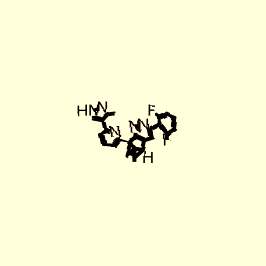 Cc1n[nH]cc1-c1cccc([C@@]23CC[C@@H](c4cc(-c5c(F)cccc5F)nnc42)C3(C)C)n1